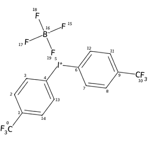 FC(F)(F)c1ccc([I+]c2ccc(C(F)(F)F)cc2)cc1.F[B-](F)(F)F